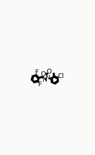 Cc1c(Cl)cccc1-n1nc(-c2c(F)cccc2F)oc1=O